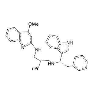 CCCC(CNc1cc(OC)c2ccccc2n1)CN[C@@H](Cc1ccccc1)c1c[nH]c2ccccc12